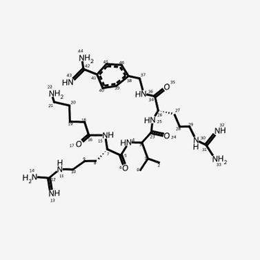 CC(C)C(NC(=O)[C@H](CCCNC(=N)N)NC(=O)CCCCN)C(=O)N[C@@H](CCCNC(=N)N)C(=O)NCc1ccc(C(=N)N)cc1